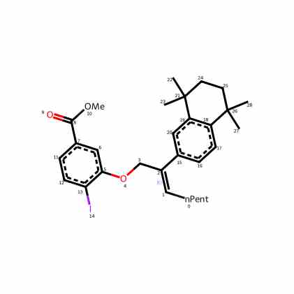 CCCCC/C=C(/COc1cc(C(=O)OC)ccc1I)c1ccc2c(c1)C(C)(C)CCC2(C)C